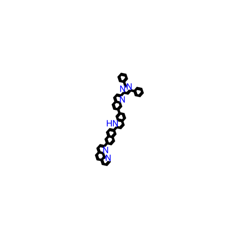 C1=CC(c2ccc3cc(-c4ccc5ccc6cccnc6c5n4)ccc3c2)Nc2cc(-c3ccc4ccc(-c5cc(-c6ccccc6)nc(-c6ccccc6)n5)nc4c3)ccc21